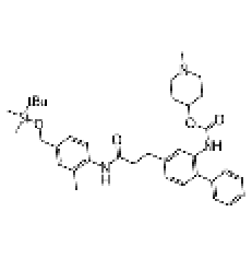 Cc1cc(CO[Si](C)(C)C(C)(C)C)ccc1NC(=O)CCc1ccc(-c2ccccc2)c(NC(=O)OC2CCN(C)CC2)c1